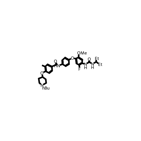 CCCCN1CCC(Oc2ccc(C(=O)Nc3ccc(Oc4cc(F)c(NC(=O)NC(CC)CC)cc4OC)cc3)cc2C)CC1